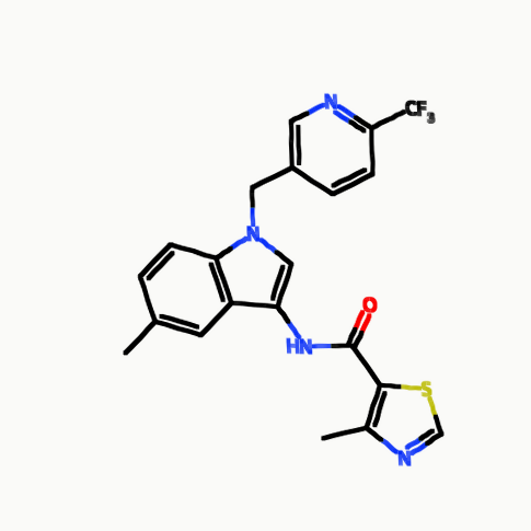 Cc1ccc2c(c1)c(NC(=O)c1scnc1C)cn2Cc1ccc(C(F)(F)F)nc1